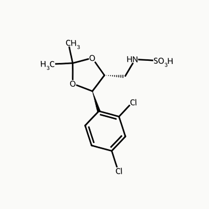 CC1(C)O[C@H](c2ccc(Cl)cc2Cl)[C@@H](CNS(=O)(=O)O)O1